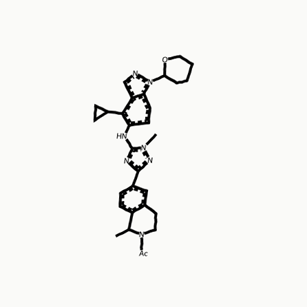 CC(=O)N1CCc2cc(-c3nc(Nc4ccc5c(cnn5C5CCCCO5)c4C4CC4)n(C)n3)ccc2C1C